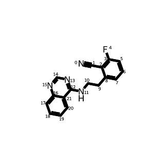 N#Cc1c(F)cccc1CCNc1ncnc2ccccc12